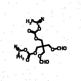 N#P(P)OC(=O)OCC(COC=O)(COC=O)COC(=O)OP(#N)P